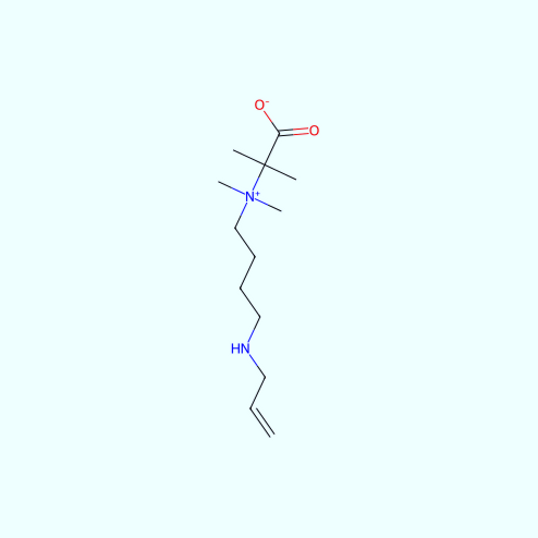 C=CCNCCCC[N+](C)(C)C(C)(C)C(=O)[O-]